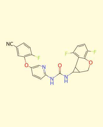 N#Cc1ccc(F)c(Oc2ccc(NC(=O)NC3C4COc5c(F)ccc(F)c5C43)nc2)c1